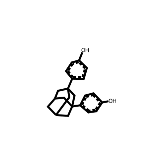 Oc1ccc(C23CC4CC(C2)CC(c2ccc(O)cc2)(C4)C3)cc1